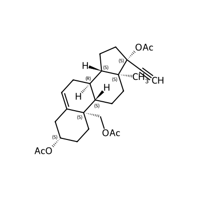 C#C[C@]1(OC(C)=O)CC[C@H]2[C@@H]3CC=C4C[C@@H](OC(C)=O)CC[C@]4(COC(C)=O)[C@H]3CC[C@@]21C